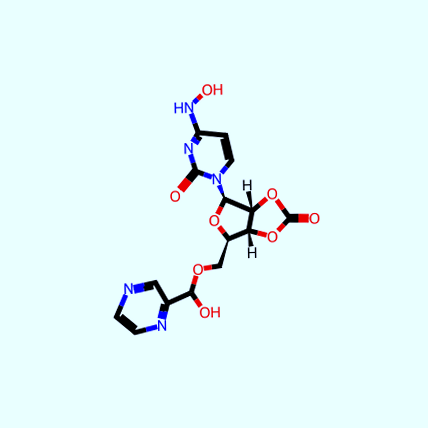 O=C1O[C@@H]2[C@H](O1)[C@@H](COC(O)c1cnccn1)O[C@H]2n1ccc(NO)nc1=O